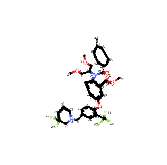 COCC(COC)N(c1ccc(Oc2ccc(CN3CCCC(F)(F)C3)cc2C(F)(F)F)cc1C(=O)OC)C(=O)[C@H]1CC[C@H](C)CC1